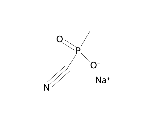 CP(=O)([O-])C#N.[Na+]